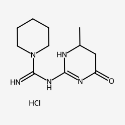 CC1CC(=O)N=C(NC(=N)N2CCCCC2)N1.Cl